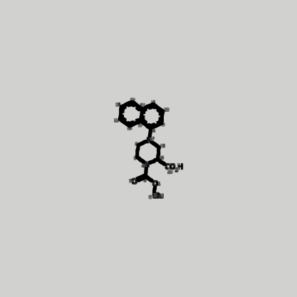 CC(C)(C)OC(=O)N1CCN(c2cccc3ccccc23)CC1C(=O)O